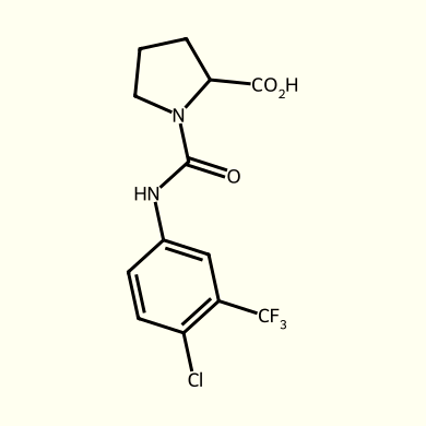 O=C(O)C1CCCN1C(=O)Nc1ccc(Cl)c(C(F)(F)F)c1